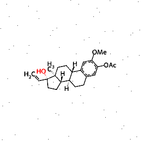 C=C[C@]1(O)CC[C@H]2[C@@H]3CCc4cc(OC(C)=O)c(OC)cc4[C@H]3CC[C@@]21C